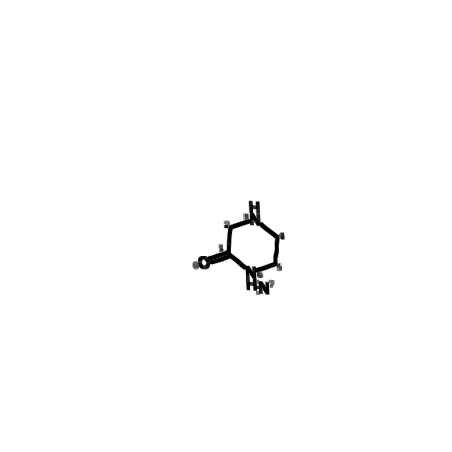 O=C1CNCCN1.[N]